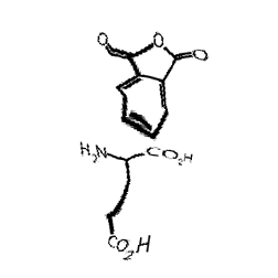 NC(CCC(=O)O)C(=O)O.O=C1OC(=O)c2ccccc21